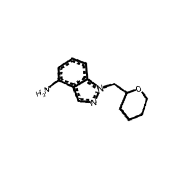 Nc1cccc2c1cnn2CC1CCCCO1